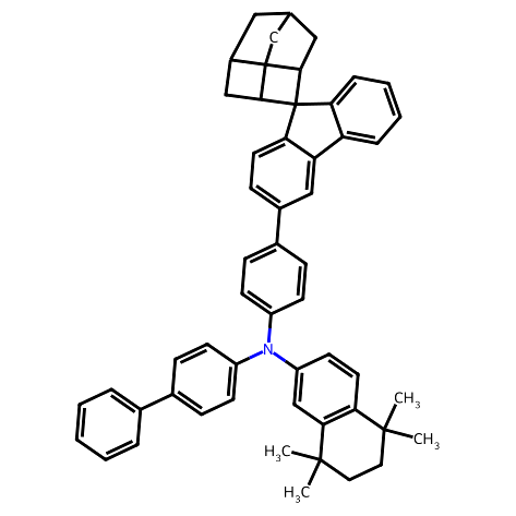 CC1(C)CCC(C)(C)c2cc(N(c3ccc(-c4ccccc4)cc3)c3ccc(-c4ccc5c(c4)-c4ccccc4C54C5CC6CC7CC4C75C6)cc3)ccc21